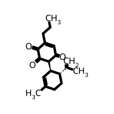 C=C(C)[C@@H]1CCC(C)=C[C@H]1C1C(=O)C=C(CCC)C(=O)C1=O